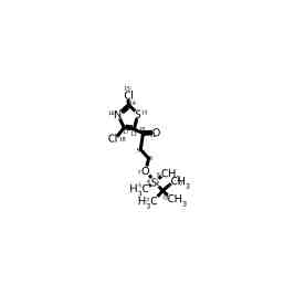 CC(C)(C)[Si](C)(C)OCCC(=O)c1sc(Cl)nc1Cl